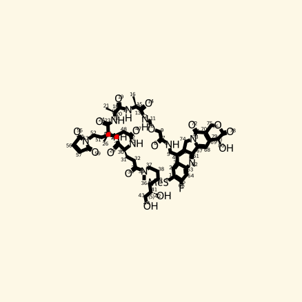 CSc1cc2c(CNC(=O)COCNC(=O)[C@H](C)NC(=O)[C@H](C)NC(=O)[C@H](C)NC(=O)[C@H](CCC(=O)N(C)CCCC[C@H](O)CO)NC(=O)CCCCCN3C(=O)C=CC3=O)c3c(nc2cc1F)-c1cc2c(c(=O)n1C3)COC(=O)[C@H]2O